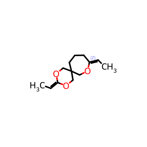 CC=C1OCC2(CCC/C(=C/C)OC2)CO1